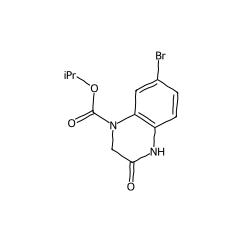 CC(C)OC(=O)N1CC(=O)Nc2ccc(Br)cc21